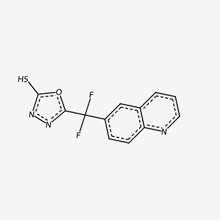 FC(F)(c1ccc2ncccc2c1)c1nnc(S)o1